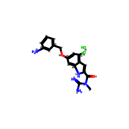 CN(C(=N)N)C(=O)c1cc2c(Cl)cc(OCc3cccc(N)c3)cc2[nH]1.Cl